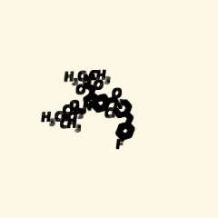 CN(C)C(=O)C(=O)c1cn(CC(=O)OC(C)(C)C)c2cc(Cl)c(C(=O)N3CCC(Cc4ccc(F)cc4)CC3)cc12